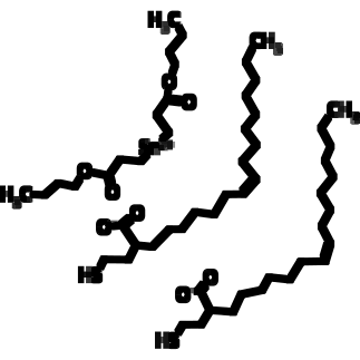 CCCCCCCC/C=C\CCCCCCC(CCS)C(=O)[O-].CCCCCCCC/C=C\CCCCCCC(CCS)C(=O)[O-].CCCCOC(=O)C[CH2][Sn+2][CH2]CC(=O)OCCCC